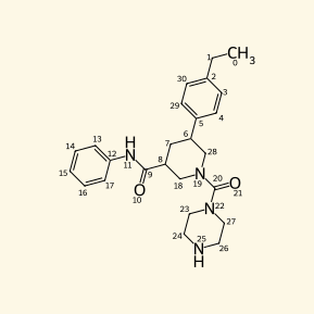 CCc1ccc(C2CC(C(=O)Nc3ccccc3)CN(C(=O)N3CCNCC3)C2)cc1